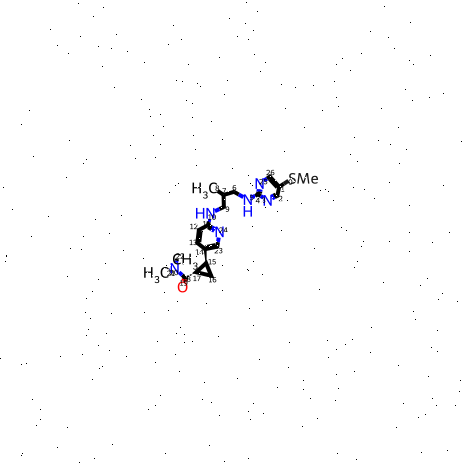 CSc1cnc(NCC(C)CNc2ccc([C@H]3C[C@@H]3C(=O)N(C)C)cn2)nc1